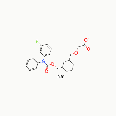 O=C([O-])COCC1CCCC(COC(=O)N(c2ccccc2)c2cccc(F)c2)C1.[Na+]